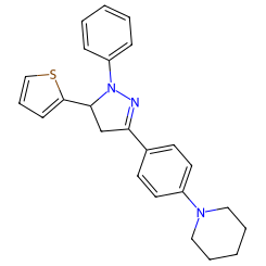 c1ccc(N2N=C(c3ccc(N4CCCCC4)cc3)CC2c2cccs2)cc1